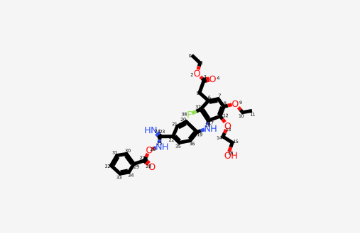 CCOC(=O)Cc1cc(OCC)c(OCCO)c(Nc2ccc(C(=N)NOC(=O)c3ccccc3)cc2)c1F